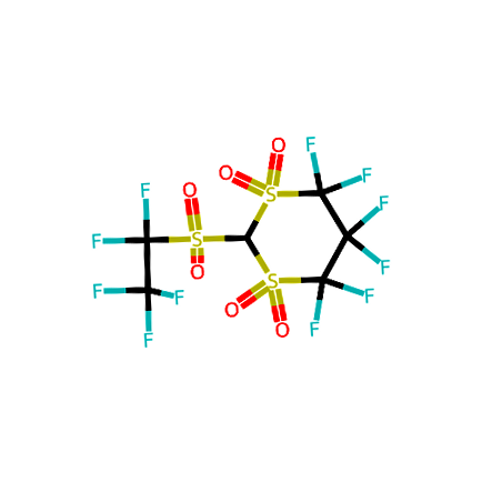 O=S(=O)(C1S(=O)(=O)C(F)(F)C(F)(F)C(F)(F)S1(=O)=O)C(F)(F)C(F)(F)F